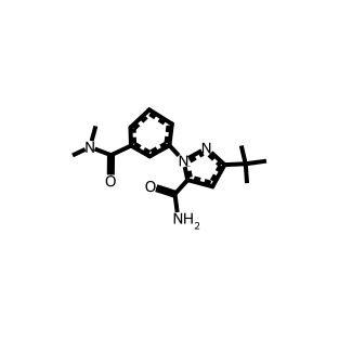 CN(C)C(=O)c1cccc(-n2nc(C(C)(C)C)cc2C(N)=O)c1